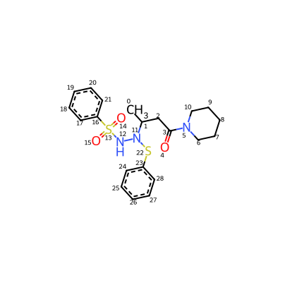 CC(CC(=O)N1CCCCC1)N(NS(=O)(=O)c1ccccc1)Sc1ccccc1